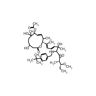 CC[C@H](OC)[C@@H](C)C1OC1C(NCc1ccc(C(C)(C)C)cc1)C(C)(O)/C=C/C=C(\C)[C@H]1OC(=O)CC(O)CCC(C)(O)[C@@H](OC(C)=O)/C=C/C1C